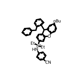 CCCCc1ccc2c(c1)C(c1ccccc1Cc1ccccc1)c1ccc([N+](CC)(CC)Nc3ccc(C#N)cc3)cc1O2